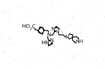 O=C(O)Cc1ccc(CN(Cc2ncc[nH]2)Cc2nccn2CCCN2CCC3(CCNCC3)C2)cc1